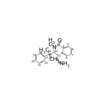 CN(C(=O)c1ccccc1)C(CCN)C(C)(C)c1ccccc1